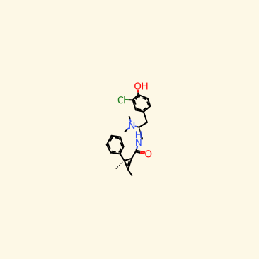 CC1=C(C(=O)NC[C@H](Cc2ccc(O)c(Cl)c2)N(C)C)[C@]1(C)c1ccccc1